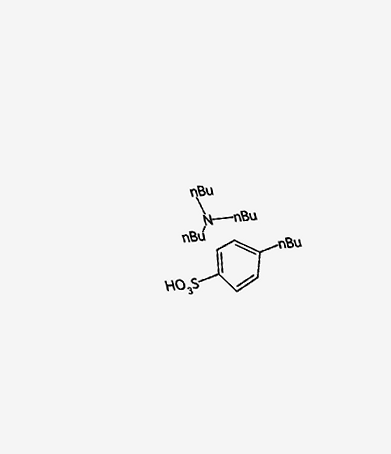 CCCCN(CCCC)CCCC.CCCCc1ccc(S(=O)(=O)O)cc1